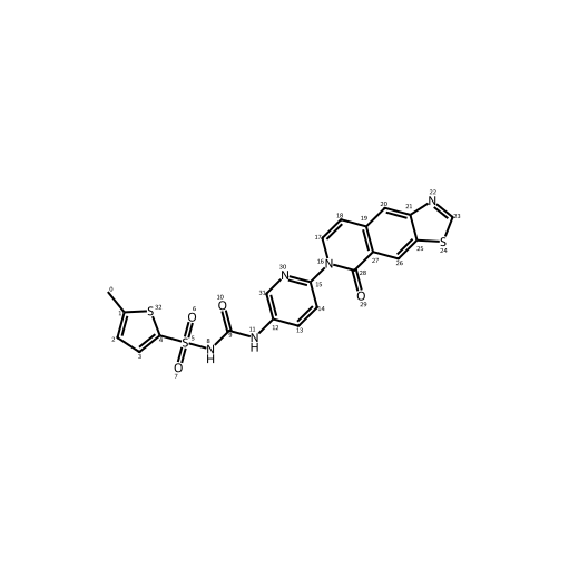 Cc1ccc(S(=O)(=O)NC(=O)Nc2ccc(-n3ccc4cc5ncsc5cc4c3=O)nc2)s1